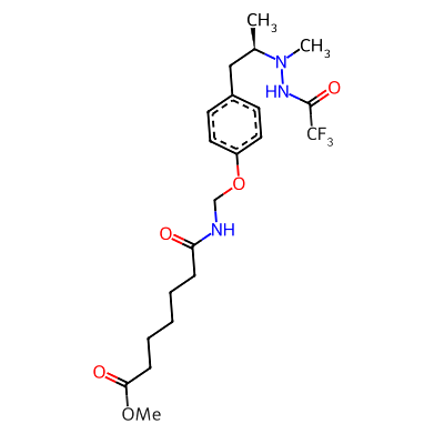 COC(=O)CCCCCC(=O)NCOc1ccc(C[C@@H](C)N(C)NC(=O)C(F)(F)F)cc1